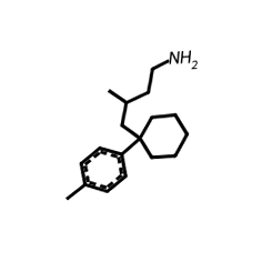 Cc1ccc(C2(CC(C)CCN)CCCCC2)cc1